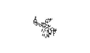 Nc1cc2c(c(-c3ncc4c(N5CCNCC5)nc(OC[C@@]56CCCN5C[C@H](F)C6)nc4c3C(F)(F)F)n1)CCC2(F)F